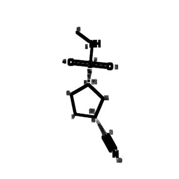 CNS(=O)(=O)[C@H]1CC[C@@H](C#N)C1